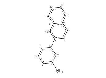 Nc1cccc(-c2ccc3cnccc3n2)c1